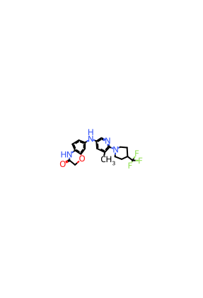 Cc1cc(Nc2ccc3c(c2)OCC(=O)N3)cnc1N1CCC(C(F)(F)F)CC1